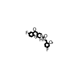 COc1cc(F)ccc1CNC(=O)N1CCC2(CC1)CC(=O)c1cc(F)ccc1N2C